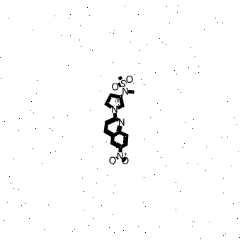 CN([C@@H]1CCN(c2ccc3cc([N+](=O)[O-])ccc3n2)C1)S(C)(=O)=O